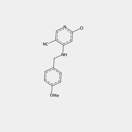 COc1ccc(CNc2cc(Cl)ncc2C#N)cc1